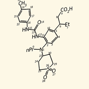 CCCN(c1ccc(C(CC)CC(=O)O)cc1NC(=O)Nc1ccc(C)cc1)C1CCS(=O)(=O)CC1